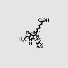 CCc1[nH]c2nc(Sc3cccnc3)nc(NCCCCCC(=O)O)c2c1C=O